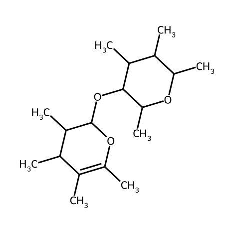 CC1=C(C)C(C)C(C)C(OC2C(C)OC(C)C(C)C2C)O1